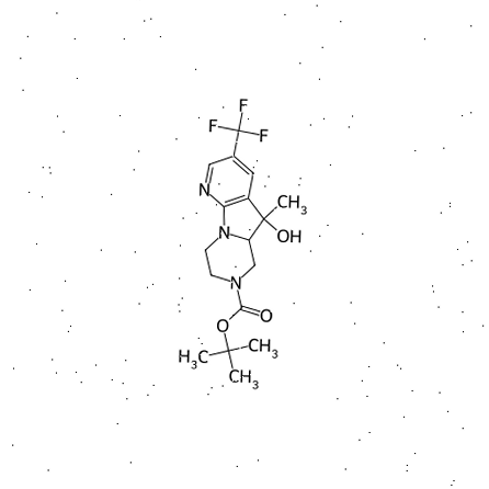 CC(C)(C)OC(=O)N1CCN2c3ncc(C(F)(F)F)cc3C(C)(O)C2C1